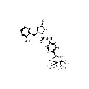 Cc1nccnc1CN1C[C@@H](F)C[C@@H]1C(=O)Nc1ccc(B2OC(C)(C)C(C)(C)O2)cc1